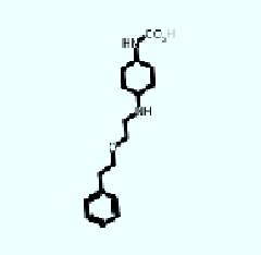 O=C(O)NC1CCC(NCCOCCc2ccccc2)CC1